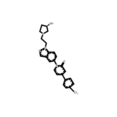 O=c1cc(-c2ccc(C(F)(F)F)cc2)ccn1-c1ccc2c(cnn2CCN2CC[C@@H](O)C2)c1